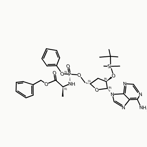 C[C@H](N[P@](=O)(OC[C@@H]1C[C@@H](O[Si](C)(C)C(C)(C)C)[C@H](n2cnc3c(N)ncnc32)O1)Oc1ccccc1)C(=O)OCc1ccccc1